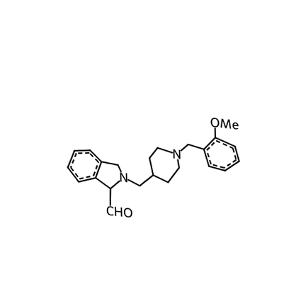 COc1ccccc1CN1CCC(CN2Cc3ccccc3C2C=O)CC1